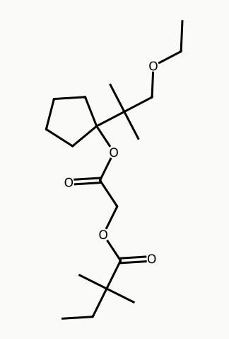 CCOCC(C)(C)C1(OC(=O)COC(=O)C(C)(C)CC)CCCC1